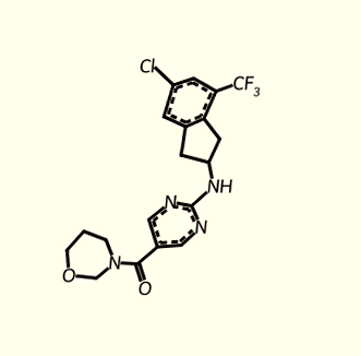 O=C(c1cnc(NC2Cc3cc(Cl)cc(C(F)(F)F)c3C2)nc1)N1CCCOC1